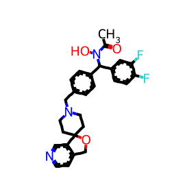 CC(=O)N(O)C(c1ccc(CN2CCC3(CC2)OCc2ccncc23)cc1)c1ccc(F)c(F)c1